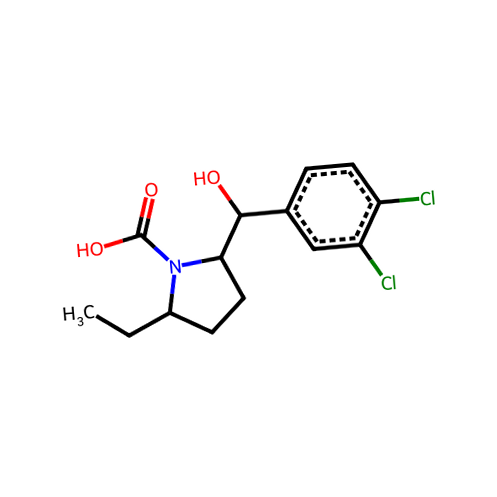 CCC1CCC(C(O)c2ccc(Cl)c(Cl)c2)N1C(=O)O